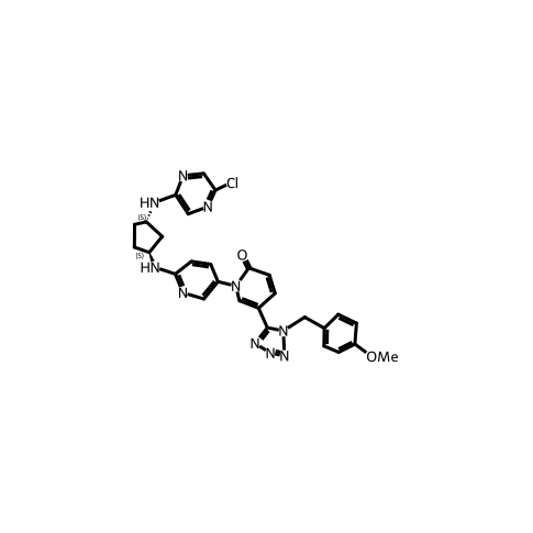 COc1ccc(Cn2nnnc2-c2ccc(=O)n(-c3ccc(N[C@H]4CC[C@H](Nc5cnc(Cl)cn5)C4)nc3)c2)cc1